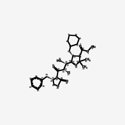 CC(C)(C)OC(=O)N1[C@@H](CC2CCCCC2)[C@H]([C@@H](O)[C@H](Cl)C(=O)N2C(=O)OC[C@@H]2Cc2ccccc2)OC1(C)C